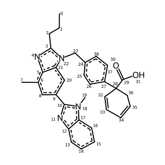 CCCc1nc2c(C)cc(-c3nc4ccccc4n3C)cc2n1Cc1ccc(C2(C(=O)O)C=CC=CC2)cc1